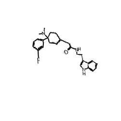 CN(C)C1(c2cccc(F)c2)CCC(CC(=O)NCCc2c[nH]c3ccccc23)CC1